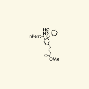 CCCCCC(NS(=O)(=O)c1ccccc1)c1ccc(CCCC(=O)OC)cc1